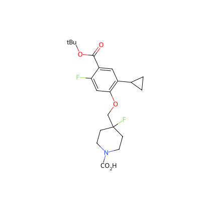 CC(C)(C)OC(=O)c1cc(C2CC2)c(OCC2(F)CCN(C(=O)O)CC2)cc1F